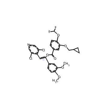 COc1ccc(/C(=C/c2c(Cl)cncc2Cl)OC(=O)c2ccc(OC(F)F)c(OCC3CC3)c2)cc1OC